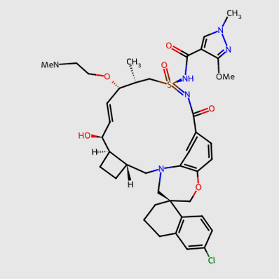 CNCCO[C@H]1/C=C/[C@H](O)[C@@H]2CC[C@H]2CN2C[C@@]3(CCCc4cc(Cl)ccc43)COc3ccc(cc32)C(=O)N=[S@](=O)(NC(=O)c2cn(C)nc2OC)C[C@H]1C